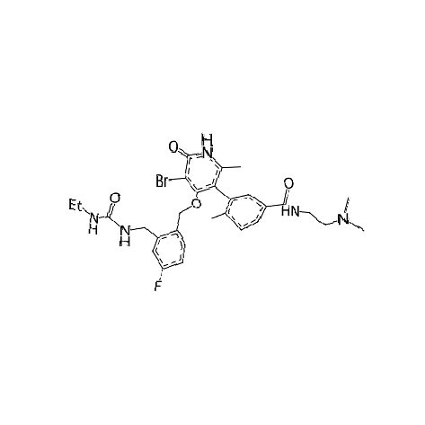 CCNC(=O)NCc1cc(F)ccc1COc1c(-c2cc(C(=O)NCCN(C)C)ccc2C)c(C)[nH]c(=O)c1Br